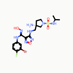 CC(C)NS(=O)(=O)N1CC[C@](N)(CNc2nonc2/C(=N/O)Nc2ccc(F)c(Br)c2)C1